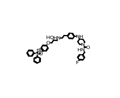 CC(C)(C)[Si](Oc1ccc(OC[C@@H](O)CNCCc2ccc(NC3CCN(C(=O)NCc4ccc(F)cc4)CC3)cc2)cc1)(c1ccccc1)c1ccccc1